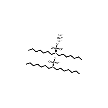 CCCCCCCS(CCCCCCC)=P([O-])([O-])[S-].CCCCCCCS(CCCCCCC)=P([O-])([O-])[S-].[Ba+2].[Ba+2].[Ba+2]